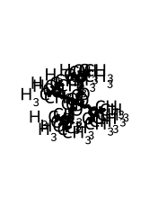 CC(C)(C)c1cc(CCC(=O)OCC(OC(=O)CCc2cc(C(C)(C)C)c(O)c(C(C)(C)C)c2)(OC(=O)CCc2cc(C(C)(C)C)c(O)c(C(C)(C)C)c2)OC(=O)CCc2cc(C(C)(C)C)c(O)c(C(C)(C)C)c2)cc(C(C)(C)C)c1O